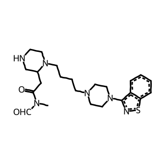 CN(C=O)C(=O)CC1CNCCN1CCCCN1CCN(c2nsc3ccccc23)CC1